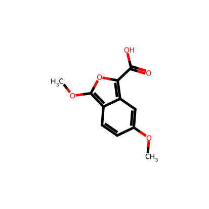 COc1ccc2c(OC)oc(C(=O)O)c2c1